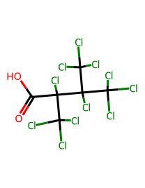 O=C(O)C(Cl)(C(Cl)(Cl)Cl)C(Cl)(C(Cl)(Cl)Cl)C(Cl)(Cl)Cl